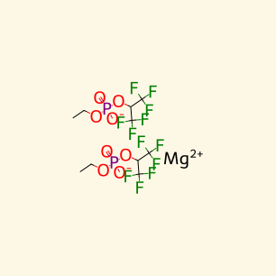 CCOP(=O)([O-])OC(C(F)(F)F)C(F)(F)F.CCOP(=O)([O-])OC(C(F)(F)F)C(F)(F)F.[Mg+2]